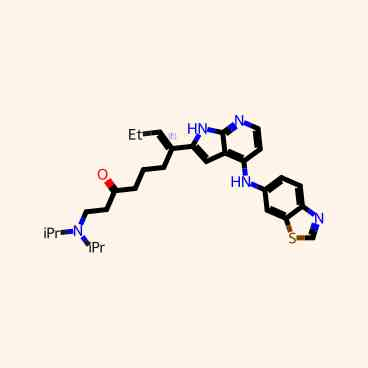 CC/C=C(\CCCC(=O)CCN(C(C)C)C(C)C)c1cc2c(Nc3ccc4ncsc4c3)ccnc2[nH]1